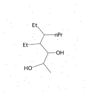 CCCC(CC)C(CC)C(O)C(C)O